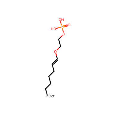 CCCCCCCCCCCCC=COCCOP(=O)(O)O